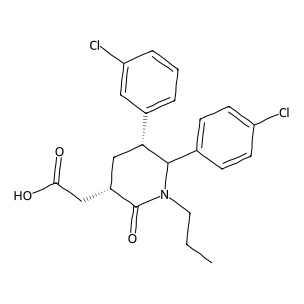 CCCN1C(=O)[C@H](CC(=O)O)C[C@H](c2cccc(Cl)c2)C1c1ccc(Cl)cc1